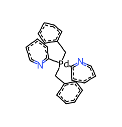 c1ccc([CH2][Pd]([CH2]c2ccccc2)([c]2ccccn2)[c]2ccccn2)cc1